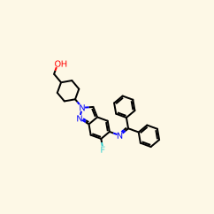 OCC1CCC(n2cc3cc(N=C(c4ccccc4)c4ccccc4)c(F)cc3n2)CC1